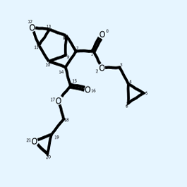 O=C(OCC1CC1)C1C2CC(C3OC23)C1C(=O)OCC1CO1